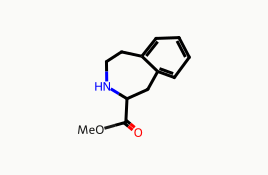 COC(=O)C1Cc2ccccc2CCN1